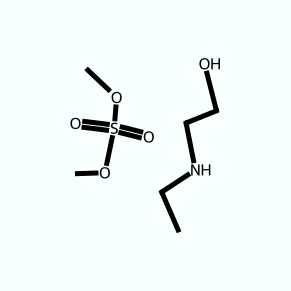 CCNCCO.COS(=O)(=O)OC